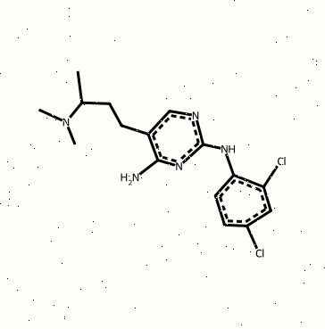 CC(CCc1cnc(Nc2ccc(Cl)cc2Cl)nc1N)N(C)C